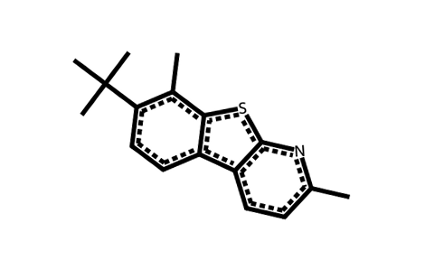 Cc1ccc2c(n1)sc1c(C)c(C(C)(C)C)ccc12